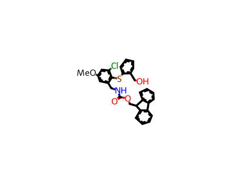 COc1cc(Cl)c(Sc2ccccc2CO)c(CNC(=O)OCC2c3ccccc3-c3ccccc32)c1